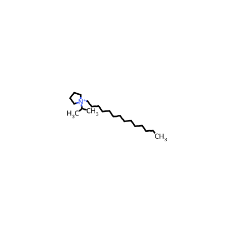 CCCCCCCCCCCCCC[N+]1(C(C)C)CCCC1